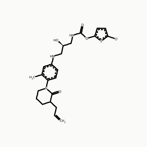 C=CCC1CCCN(c2ccc(NC[C@@H](O)CNC(=O)Oc3ccc(Cl)s3)cc2C)C1=O